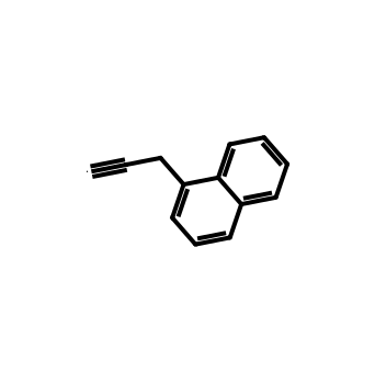 [C]#CCc1cccc2ccccc12